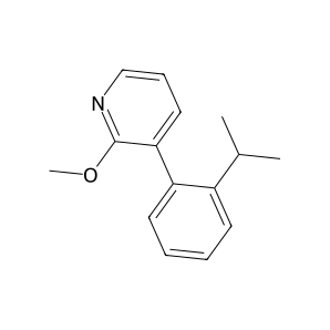 COc1ncccc1-c1ccccc1C(C)C